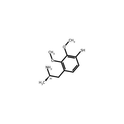 COc1c(S)ccc(C[C@@H](C)N)c1OC